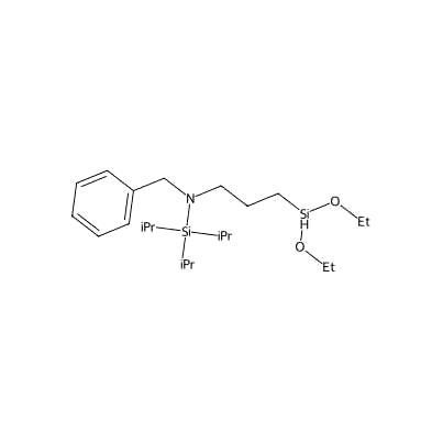 CCO[SiH](CCCN(Cc1ccccc1)[Si](C(C)C)(C(C)C)C(C)C)OCC